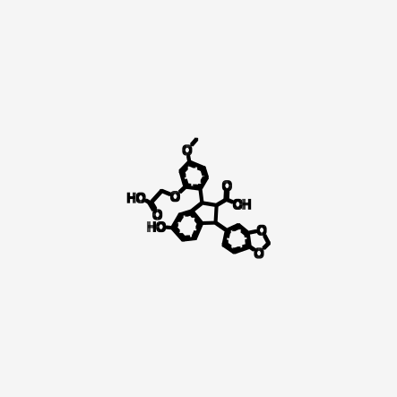 COc1ccc(C2c3cc(O)ccc3C(c3ccc4c(c3)OCO4)C2C(=O)O)c(OCC(=O)O)c1